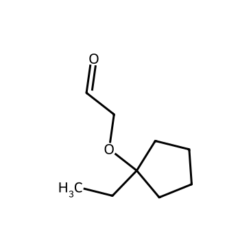 CCC1(OCC=O)CCCC1